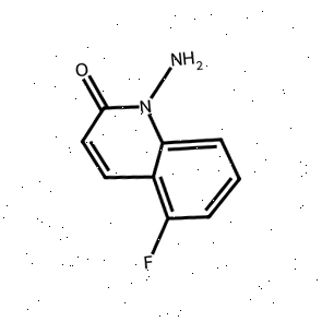 Nn1c(=O)ccc2c(F)cccc21